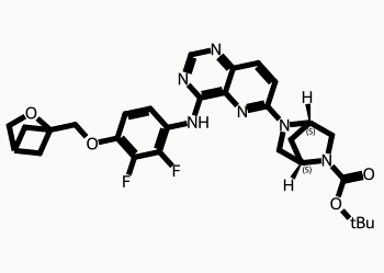 CC(C)(C)OC(=O)N1C[C@@H]2C[C@H]1CN2c1ccc2ncnc(Nc3ccc(OCC45CC(CO4)C5)c(F)c3F)c2n1